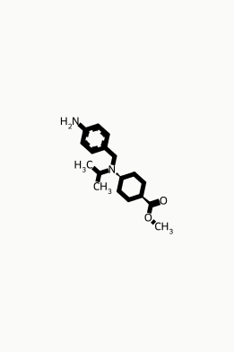 COC(=O)[C@H]1CC[C@H](N(Cc2ccc(N)cc2)C(C)C)CC1